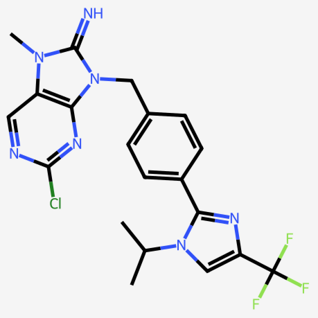 CC(C)n1cc(C(F)(F)F)nc1-c1ccc(Cn2c(=N)n(C)c3cnc(Cl)nc32)cc1